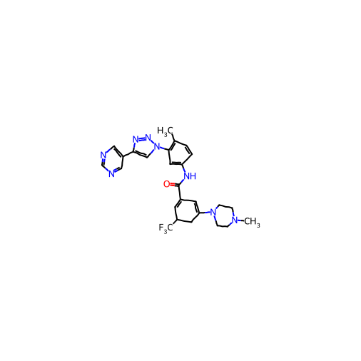 Cc1ccc(NC(=O)C2=CC(C(F)(F)F)CC(N3CCN(C)CC3)=C2)cc1-n1cc(-c2cncnc2)nn1